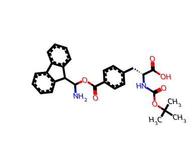 CC(C)(C)OC(=O)N[C@H](Cc1ccc(C(=O)OC(N)C2c3ccccc3-c3ccccc32)cc1)C(=O)O